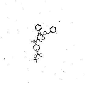 CC(C)(C)OC(=O)N1CCC(NC(=O)CN(C(=O)OCc2ccccc2)c2ccccc2)CC1